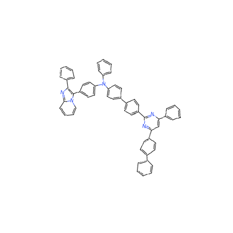 c1ccc(-c2ccc(-c3cc(-c4ccccc4)nc(-c4ccc(-c5ccc(N(c6ccccc6)c6ccc(-c7c(-c8ccccc8)nc8ccccn78)cc6)cc5)cc4)n3)cc2)cc1